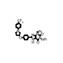 CCCn1c(=O)c2[nH]c(-c3ccc(OC4CCN(c5ccc(C(F)(F)F)cc5)C4)cc3)nc2n(CCC)c1=O